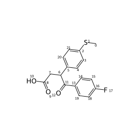 CSc1ccc(C(CC(=O)O)C(=O)c2ccc(F)cc2)cc1